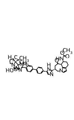 COC(=O)N[C@H]1CCc2ccn3c2C1C(=O)C[C@H](c1ncc(-c2ccc(-c4ccc(-c5nnc([C@@]6(C(C)(C)C)CCCN6C(=O)O)[nH]5)cc4)cc2)[nH]1)C3